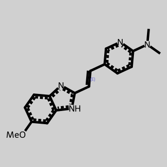 COc1ccc2nc(/C=C/c3ccc(N(C)C)nc3)[nH]c2c1